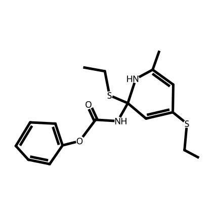 CCSC1=CC(NC(=O)Oc2ccccc2)(SCC)NC(C)=C1